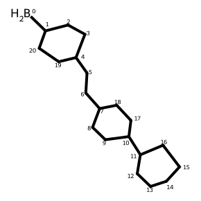 BC1CCC(CCC2CCC(C3CCCCC3)CC2)CC1